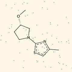 CO[C@H]1CCN(c2nc(C)cs2)C1